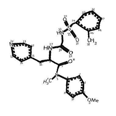 COc1ccc(N(C)C(=O)C(Cc2ccncc2)NC(=O)NS(=O)(=O)c2ccccc2C)cc1